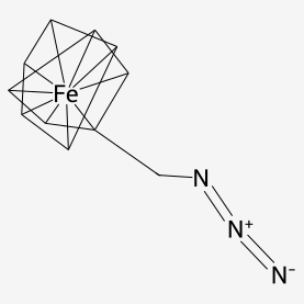 [N-]=[N+]=NC[C]12[CH]3[CH]4[CH]5[CH]1[Fe]45321678[CH]2[CH]1[CH]6[CH]7[CH]28